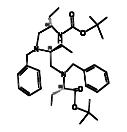 CC[C@@H](CN(Cc1ccccc1)[C@@H](CC)CN(Cc1ccccc1)[C@@H](CC)C(=O)OC(C)(C)C)NC(=O)OC(C)(C)C